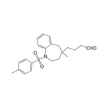 Cc1ccc(S(=O)(=O)N2CCC(C)(CCCC=O)Cc3ccccc32)cc1